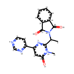 CC(c1nc(-c2ccncn2)cc(=O)n1C)N1C(=O)c2ccccc2C1=O